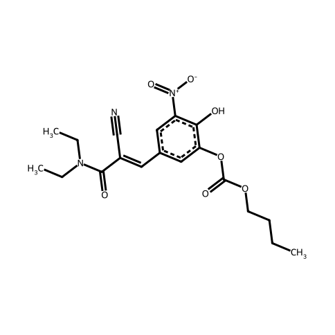 CCCCOC(=O)Oc1cc(/C=C(\C#N)C(=O)N(CC)CC)cc([N+](=O)[O-])c1O